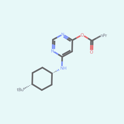 CCCC(=O)Oc1cc(N[C@H]2CC[C@@H](C(C)(C)C)CC2)ncn1